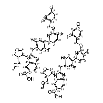 COC[C@H]1COC[C@H]1n1c(Cc2cc(F)c(-c3ccc(F)c(OCc4ccc(Cl)cc4F)n3)cc2F)nc2ccc(C(=O)O)cc21.COC[C@H]1COC[C@H]1n1c(Cc2cc(F)c(-c3ccc(F)c(OCc4ccc(Cl)cc4F)n3)cc2F)nc2ccc(C(=O)O)cc21